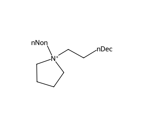 CCCCCCCCCCCC[N+]1(CCCCCCCCC)CCCC1